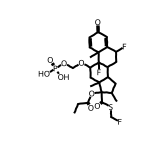 CCC(=O)OC1(C(=O)SCF)C(C)CC2C3CC(F)C4=CC(=O)C=CC4(C)C3(F)C(OCOP(=O)(O)O)CC21C